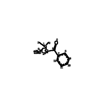 CC(C)(C)[Si](C)(C)[SiH2]C(=O)c1ccccc1